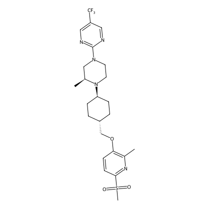 Cc1nc(S(C)(=O)=O)ccc1OC[C@H]1CC[C@H](N2CCN(c3ncc(C(F)(F)F)cn3)C[C@@H]2C)CC1